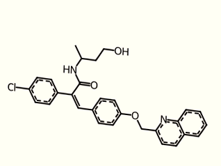 CC(CCO)NC(=O)C(=Cc1ccc(OCc2ccc3ccccc3n2)cc1)c1ccc(Cl)cc1